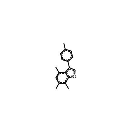 Cc1ccc(-c2coc3c(C)c(C)cc(C)c23)cc1